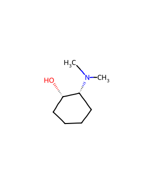 CN(C)[C@@H]1CCCC[C@@H]1O